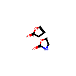 O=C1CC=CO1.O=C1NCCO1